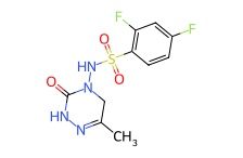 CC1=NNC(=O)N(NS(=O)(=O)c2ccc(F)cc2F)C1